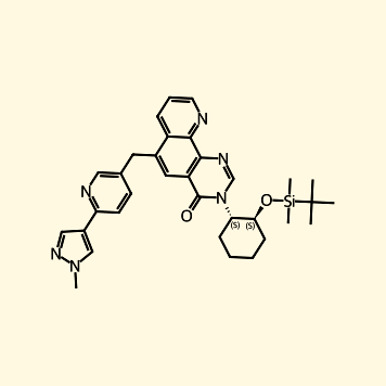 Cn1cc(-c2ccc(Cc3cc4c(=O)n([C@H]5CCCC[C@@H]5O[Si](C)(C)C(C)(C)C)cnc4c4ncccc34)cn2)cn1